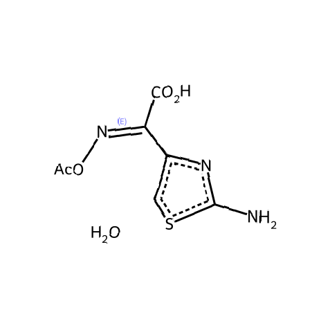 CC(=O)O/N=C(/C(=O)O)c1csc(N)n1.O